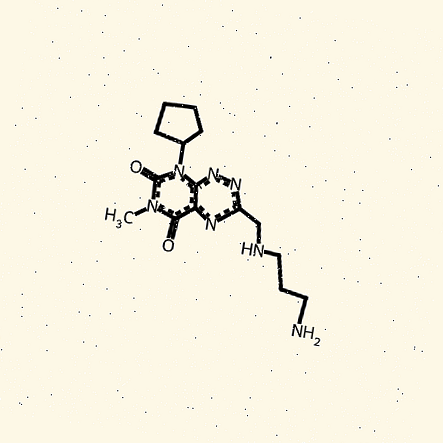 Cn1c(=O)c2nc(CNCCCN)nnc2n(C2CCCC2)c1=O